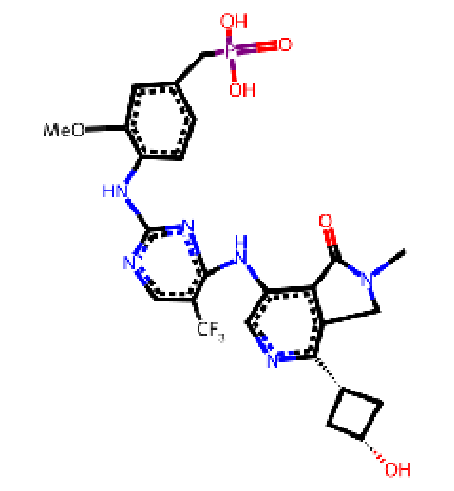 COc1cc(CP(=O)(O)O)ccc1Nc1ncc(C(F)(F)F)c(Nc2cnc([C@H]3C[C@@H](O)C3)c3c2C(=O)N(C)C3)n1